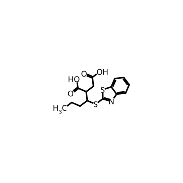 CCCC(Sc1nc2ccccc2s1)C(CC(=O)O)C(=O)O